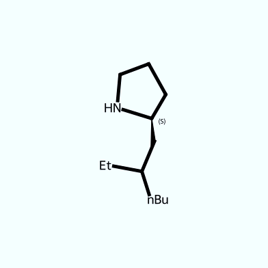 CCCCC(CC)C[C@@H]1CCCN1